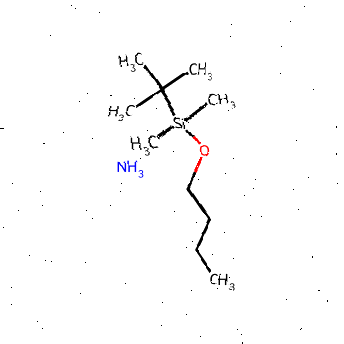 CCCCO[Si](C)(C)C(C)(C)C.N